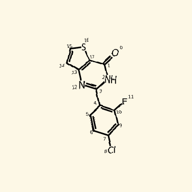 O=c1[nH]c(-c2ccc(Cl)cc2F)nc2ccsc12